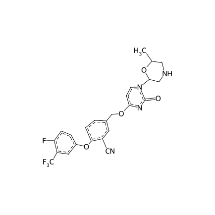 CC1CNCC(n2ccc(OCc3ccc(Oc4ccc(F)c(C(F)(F)F)c4)c(C#N)c3)nc2=O)O1